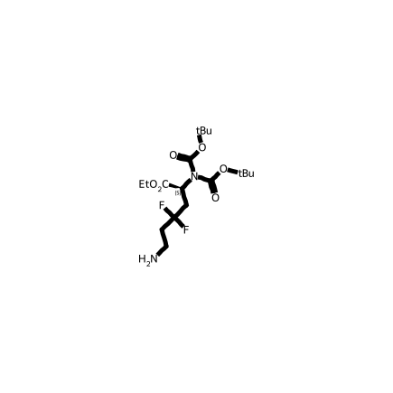 CCOC(=O)[C@H](CC(F)(F)CCN)N(C(=O)OC(C)(C)C)C(=O)OC(C)(C)C